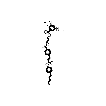 CCCCCc1ccc(OC(=O)/C=C/c2ccc(C(=O)OCCCOC(=O)c3cc(N)cc(N)c3)cc2)cc1